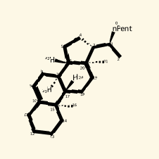 CCCCC[C@@H](C)[C@H]1CC[C@H]2[C@@H]3CC=C4CCCC[C@]4(C)[C@H]3CC[C@]12C